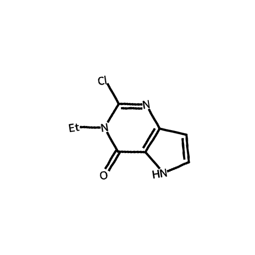 CCn1c(Cl)nc2cc[nH]c2c1=O